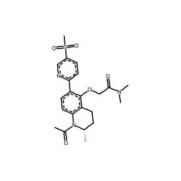 CC(=O)N1c2ccc(-c3ccc(S(C)(=O)=O)cn3)c(OCC(=O)N(C)C)c2CC[C@@H]1C